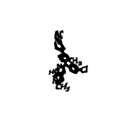 CC(=O)N1CCC(c2ccc(C(C(Cc3ccnc(C)c3)=NO)c3ccc(Cl)cc3C)cc2)CC1